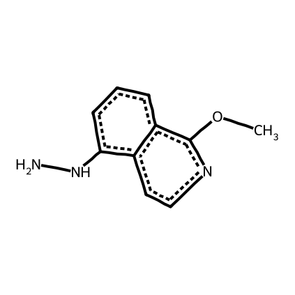 COc1nccc2c(NN)cccc12